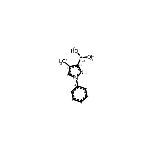 Cc1cn(-c2ccccc2)nc1B(O)O